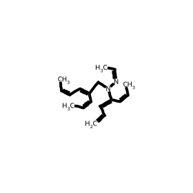 C=C/C=C(\C=C/C)N(CC(/C=C\C)=C/C=C\C)/N=C\C